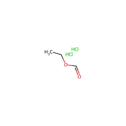 CCOC=O.Cl.Cl